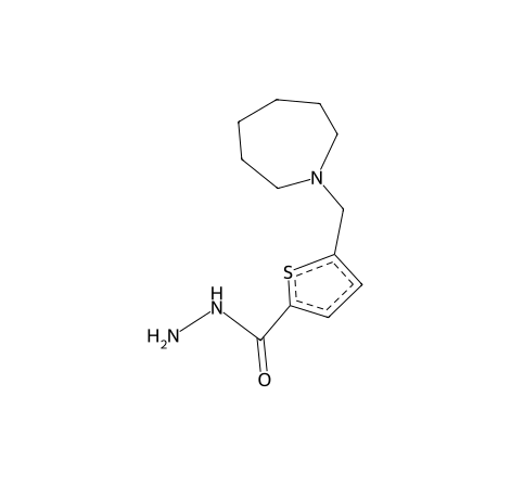 NNC(=O)c1ccc(CN2CCCCCC2)s1